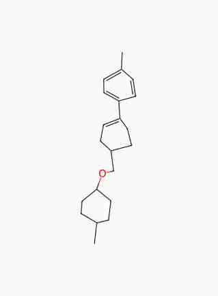 Cc1ccc(C2=CCC(COC3CCC(C)CC3)CC2)cc1